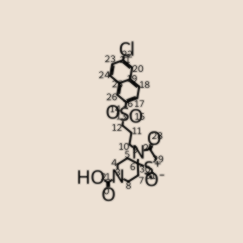 O=C(O)N1CCC2(CC1)N(CCCS(=O)(=O)c1ccc3cc(Cl)ccc3c1)C(=O)C[S+]2[O-]